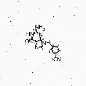 N#Cc1ccc(Cn2cnc3c(=O)[nH]c(N)nc32)o1